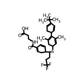 CC1=CC(SC(CCC(F)(F)F)C2C=CC(C(=O)NCCC(=O)O)=CC2)CC(C)=C1C1C=CC(C(C)(C)C)=CC1